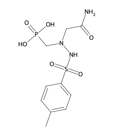 Cc1ccc(S(=O)(=O)NN(CC(N)=O)CP(=O)(O)O)cc1